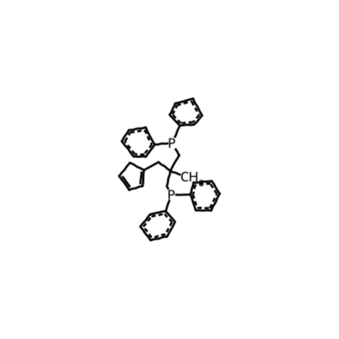 CC(CC1=CC=CC1)(CP(c1ccccc1)c1ccccc1)CP(c1ccccc1)c1ccccc1